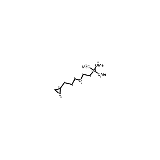 CO[Si](CCOCCCC1CO1)(OC)OC